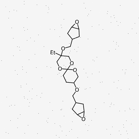 CCC1(OCC2CC3OC3C2)COC2(CCC(OCC3CC4OC4C3)CO2)OC1